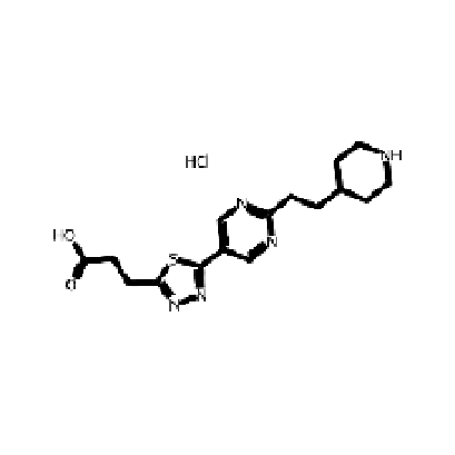 Cl.O=C(O)CCc1nnc(-c2cnc(CCC3CCNCC3)nc2)s1